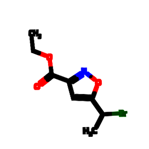 CCOC(=O)c1cc(C(C)Br)on1